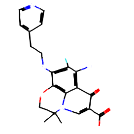 CC1(C)COc2c(NCCc3ccncc3)c(F)c(N)c3c(=O)c(C(=O)O)cn1c23